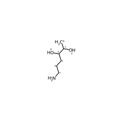 [CH2]C(O)C(O)CCCN